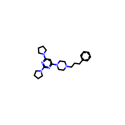 c1ccc(CCCN2CCN(c3cc(N4CCCC4)nc(N4CCCC4)n3)CC2)cc1